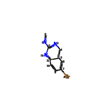 C=Nc1ncc2cc(Br)ccc2n1